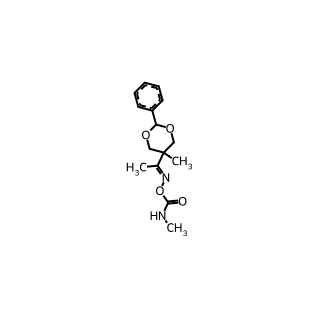 CNC(=O)ON=C(C)C1(C)COC(c2ccccc2)OC1